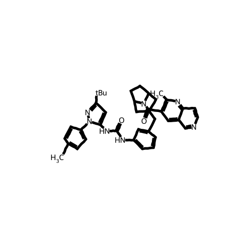 Cc1ccc(-n2nc(C(C)(C)C)cc2NC(=O)Nc2cccc(CC3CC4CCC(C3)N4C(=O)c3cc4cnccc4nc3C)c2)cc1